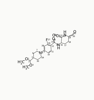 COC(OC)C1CCN(c2ccc(C(=O)NC3CCC(=C=O)NC3=C=O)c(F)c2)CC1